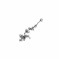 Nc1nc(=O)n([C@H]2CC(O)[C@@H](CO)O2)cc1C#CCNC(=O)CCCC(=O)NCCOCCOCCCCCCCl